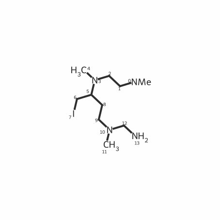 CNCCN(C)C(CI)CCN(C)CN